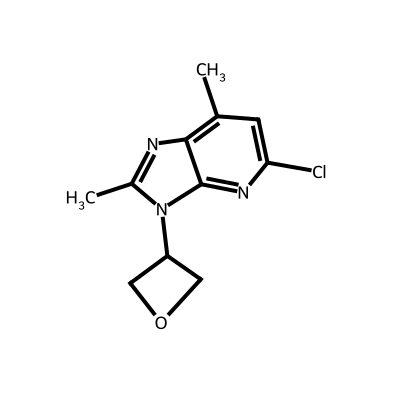 Cc1cc(Cl)nc2c1nc(C)n2C1COC1